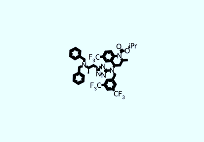 CC(C)OC(=O)N1c2ccc(C(F)(F)F)cc2C(N(Cc2cc(C(F)(F)F)cc(C(F)(F)F)c2)c2nnn(C[C@@H](C)N(Cc3ccccc3)Cc3ccccc3)n2)CC1C